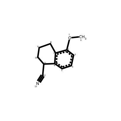 COc1cccc2c1CCCC2C#N